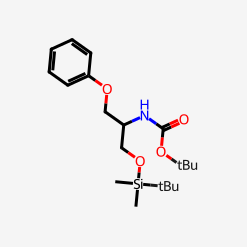 CC(C)(C)OC(=O)NC(COc1ccccc1)CO[Si](C)(C)C(C)(C)C